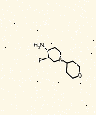 N[C@H]1CCN(C2CCOCC2)C[C@H]1F